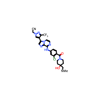 CNCC1(O)CCN(C(=O)c2ccc(Nc3nccn4c(-c5cn(CC#N)nc5C(F)(F)F)cnc34)cc2Cl)CC1